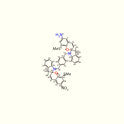 CSc1cc(N)cc2c1OC1(C=C2)N(Cc2ccc(CN3c4ccccc4C(C)(C)C34C=Cc3cc([N+](=O)[O-])cc(SC)c3O4)cc2)c2ccccc2C1(C)C